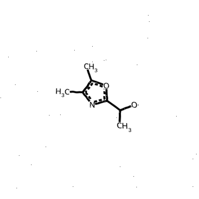 Cc1nc(C(C)[O])oc1C